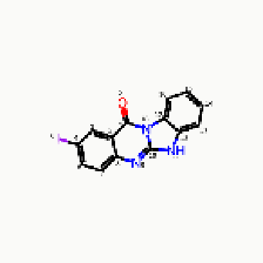 O=c1c2cc(I)ccc2nc2[nH]c3ccccc3n12